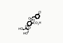 O=C(O)C1=CC2(CCC1S(=O)(=O)Cc1cccc(Cl)c1)O[C@H](CO)[C@@H](CO)O2